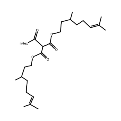 CCCCCCC(=O)C(C(=O)OCCC(C)CCC=C(C)C)C(=O)OCCC(C)CCC=C(C)C